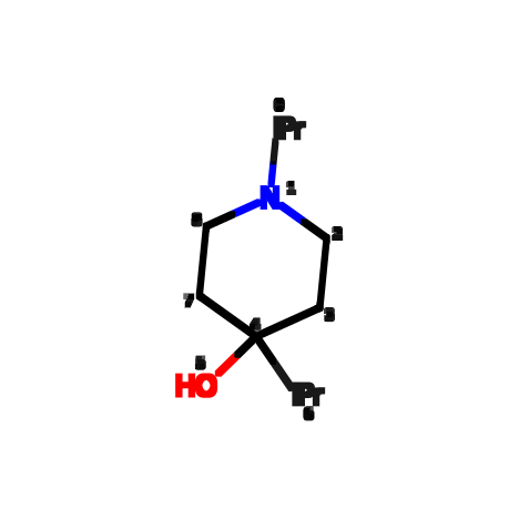 CC(C)N1CCC(O)(C(C)C)CC1